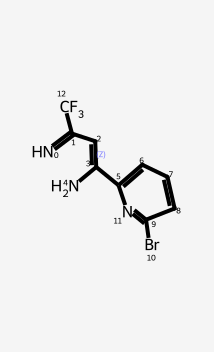 N=C(/C=C(\N)c1cccc(Br)n1)C(F)(F)F